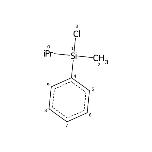 CC(C)[Si](C)(Cl)c1ccccc1